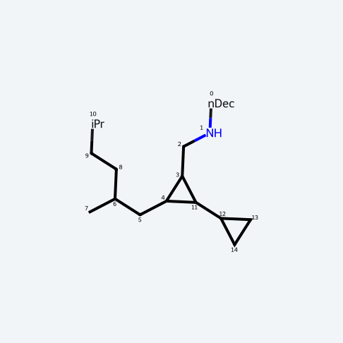 CCCCCCCCCCNCC1C(CC(C)CCC(C)C)C1C1CC1